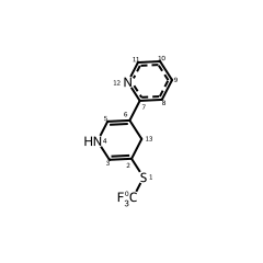 FC(F)(F)SC1=CNC=C(c2ccccn2)C1